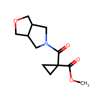 COC(=O)C1(C(=O)N2CC3COCC3C2)CC1